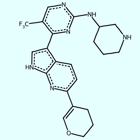 FC(F)(F)c1cnc(NC2CCCNC2)nc1-c1c[nH]c2nc(C3=COCCC3)ccc12